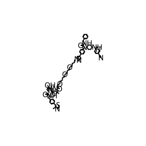 Cc1ncsc1-c1ccc(CNC(=O)[C@@H]2C[C@@H](O)CN2C(=O)[C@@H](NC(=O)COCCCCOCCCOCCCCn2cc(-c3ccc(N(C(=O)NCc4ccccc4)C4CCC(Nc5ccc(C#N)cn5)CC4)cc3)cn2)C(C)(C)C)cc1